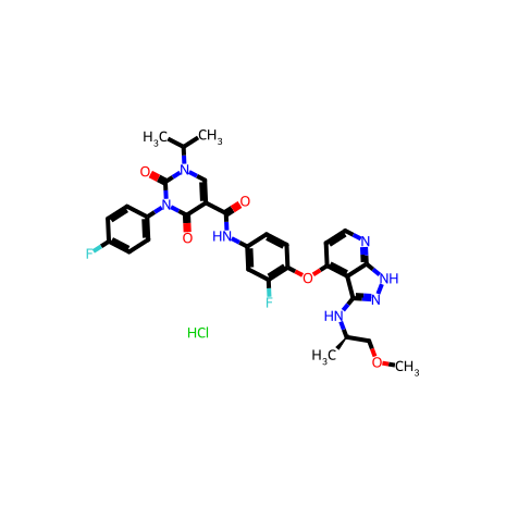 COC[C@@H](C)Nc1n[nH]c2nccc(Oc3ccc(NC(=O)c4cn(C(C)C)c(=O)n(-c5ccc(F)cc5)c4=O)cc3F)c12.Cl